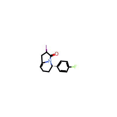 O=C1C(I)CC2=CCC[C@@H](c3ccc(F)cc3)N12